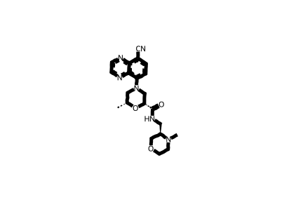 C[C@@H]1CN(c2ccc(C#N)c3nccnc23)C[C@H](C(=O)NC[C@@H]2COCCN2C)O1